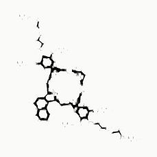 COCCOCCOc1c(OC)cc(-n2c3ccc2cc2nc(cc4ccc(cc5nc(c3)C=C5)n4-c3cc(OC)c(OCCOCCOC)c(OC)c3)-c3c-2ccc2ccccc32)cc1OC